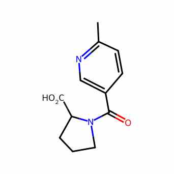 Cc1ccc(C(=O)N2CCCC2C(=O)O)cn1